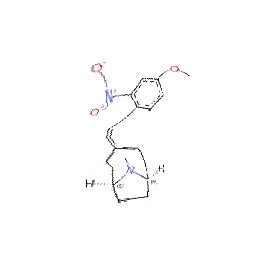 COc1ccc(C=C2C[C@H]3CC[C@@H](C2)N3C)c([N+](=O)[O-])c1